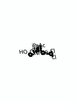 CC(=O)N1C=C(c2cccc(OCc3cc(Cl)cc(Cl)c3)c2)N(CC(=O)N[C@@H](Cc2ccccc2)C(O)C(=O)O)C(=O)[C@H]1C(C)C